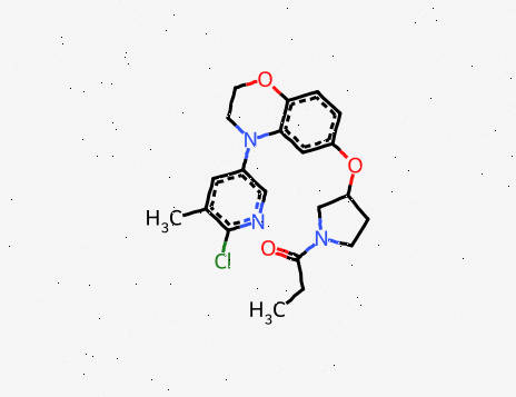 CCC(=O)N1CCC(Oc2ccc3c(c2)N(c2cnc(Cl)c(C)c2)CCO3)C1